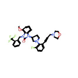 COc1cccc2c1n(Cc1ccccc1C(F)(F)F)c(=O)n2C1CCN(c2c(F)cccc2C#CCN2CCOCC2)C1